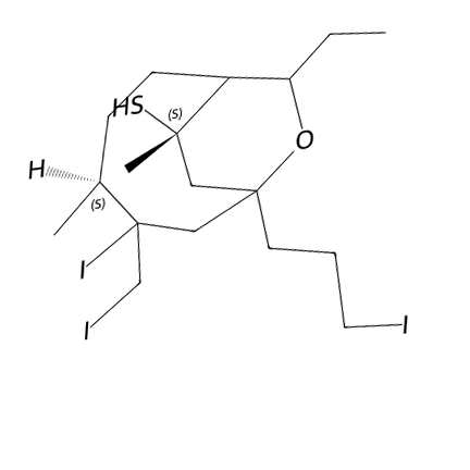 CCC1OC2(CCCI)CC(I)(CI)[C@@H](C)CCC1[C@@](C)(S)C2